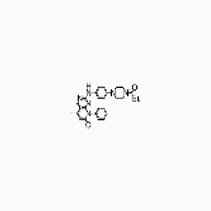 CCC(=O)N1CCN(c2ccc(Nc3ncc4c(C)cc(=O)n(-c5ccccc5)c4n3)cc2)CC1